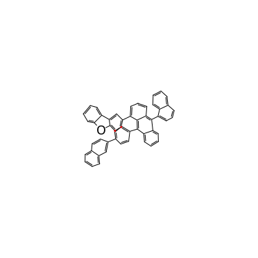 c1ccc2cc(-c3ccc(-c4c5ccccc5c(-c5cccc6ccccc56)c5cccc(-c6ccc7oc8ccccc8c7c6)c45)cc3)ccc2c1